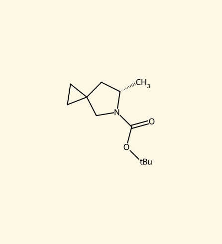 C[C@H]1CC2(CC2)CN1C(=O)OC(C)(C)C